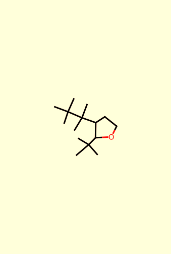 CC(C)(C)C1OCCC1C(C)(C)C(C)(C)C